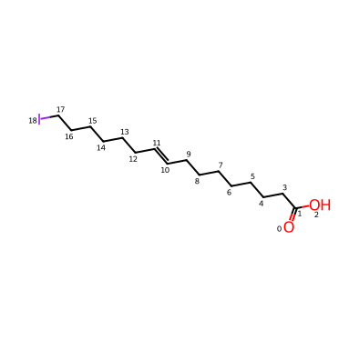 O=C(O)CCCCCCC/C=C/CCCCCCI